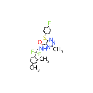 Cc1ccc(C(F)(F)CNC(=O)c2nc(C)nnc2Sc2ccc(F)cc2)c(C)c1